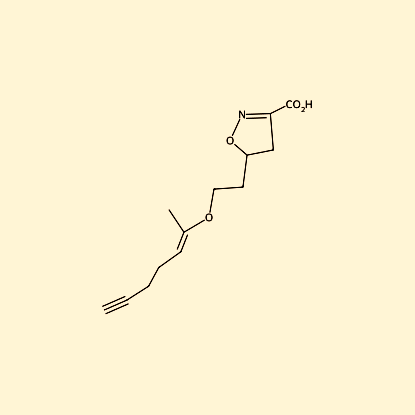 C#CCC/C=C(\C)OCCC1CC(C(=O)O)=NO1